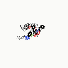 CCn1nnc2c(F)c([C@H](c3ccc(C)c(CO[Si](C)(C)C(C)(C)C)c3)[C@@H](C)C(=O)N3C(=O)OCC3Cc3ccccc3)ccc21